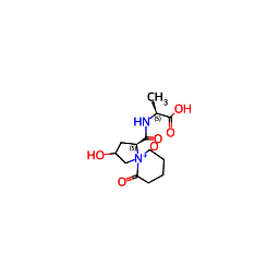 C[C@H](NC(=O)[C@@H]1CC(O)C[N+]12C(=O)CCCC2=O)C(=O)O